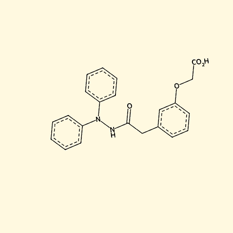 O=C(O)COc1cccc(CC(=O)NN(c2ccccc2)c2ccccc2)c1